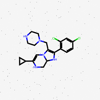 Clc1ccc(C2=C(CN3CCNCC3)N3C=C(C4CC4)NCC3N2)c(Cl)c1